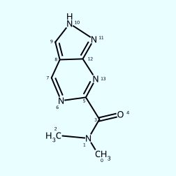 CN(C)C(=O)c1ncc2c[nH]nc2n1